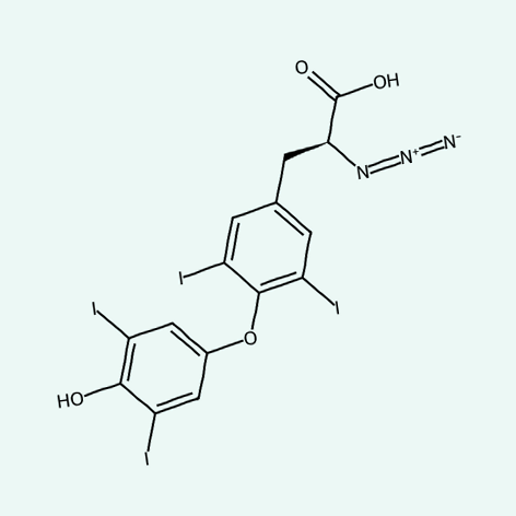 [N-]=[N+]=N[C@@H](Cc1cc(I)c(Oc2cc(I)c(O)c(I)c2)c(I)c1)C(=O)O